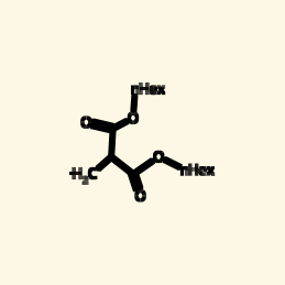 [CH2]C(C(=O)OCCCCCC)C(=O)OCCCCCC